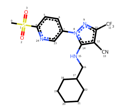 CS(=O)(=O)c1ccc(-n2nc(C(F)(F)F)c(C#N)c2NCC2CCCCC2)cn1